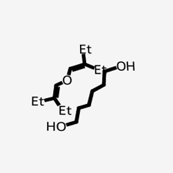 CCC(=COC=C(CC)CC)CC.OCCCCCCO